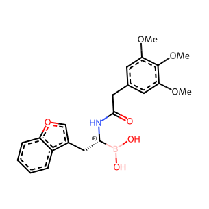 COc1cc(CC(=O)N[C@@H](Cc2coc3ccccc23)B(O)O)cc(OC)c1OC